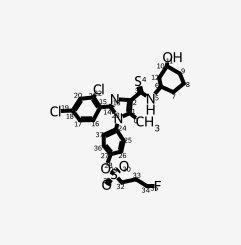 Cc1c(C(=S)NC2CCCC(O)C2)nc(-c2ccc(Cl)cc2Cl)n1-c1ccc(OS(=O)(=O)CCCF)cc1